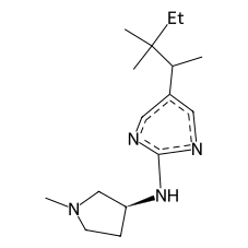 CCC(C)(C)C(C)c1cnc(N[C@H]2CCN(C)C2)nc1